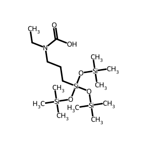 CCN(CCC[Si](O[Si](C)(C)C)(O[Si](C)(C)C)O[Si](C)(C)C)C(=O)O